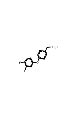 O=C(O)Cc1ccc(Oc2ccc(F)c(F)c2)nc1